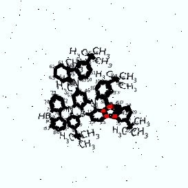 CC(C)(C)c1ccc2c(c1)B1c3ccc4c(sc5ccc(C(C)(C)C)cc54)c3N(c3ccc(C(C)(C)C)cc3-c3ccccc3)c3cc(N4c5ccc(C(C)(C)C)cc5C5(C)CCCCC45C)cc(c31)N2c1cccc2c1-c1ccccc1B2